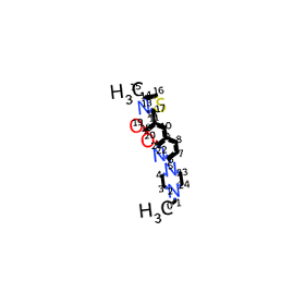 CCN1CCN(c2ccc3cc(-c4nc(C)cs4)c(=O)oc3n2)CC1